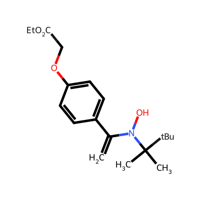 C=C(c1ccc(OCC(=O)OCC)cc1)N(O)C(C)(C)C(C)(C)C